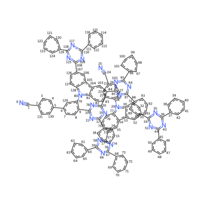 N#Cc1ccc(-c2ccc(-c3nc(-c4ccccc4)nc(-c4cc(C#N)ccc4-n4c5ccc(-c6nc(-c7ccccc7)nc(-c7ccccc7)n6)cc5c5cc(-c6nc(-c7ccccc7)nc(-c7ccccc7)n6)ccc54)n3)c(-n3c4ccc(-c5nc(-c6ccccc6)nc(-c6ccccc6)n5)cc4c4cc(-c5nc(-c6ccccc6)nc(-c6ccccc6)n5)ccc43)c2)cc1